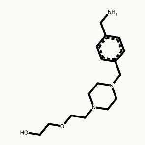 NCc1ccc(CN2CCN(CCOCCO)CC2)cc1